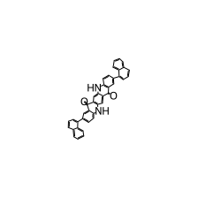 O=c1c2cc(-c3cccc4ccccc34)ccc2[nH]c2cc3c(=O)c4cc(-c5cccc6ccccc56)ccc4[nH]c3cc12